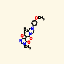 COc1ccc(N2CCN(C(=O)c3c(C)oc4ncn(C)c(=O)c34)CC2)cc1